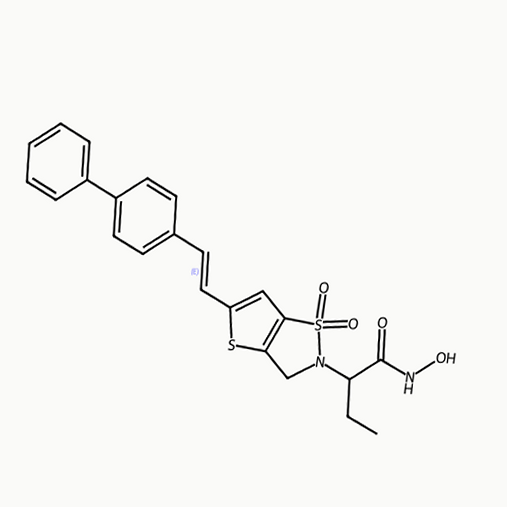 CCC(C(=O)NO)N1Cc2sc(/C=C/c3ccc(-c4ccccc4)cc3)cc2S1(=O)=O